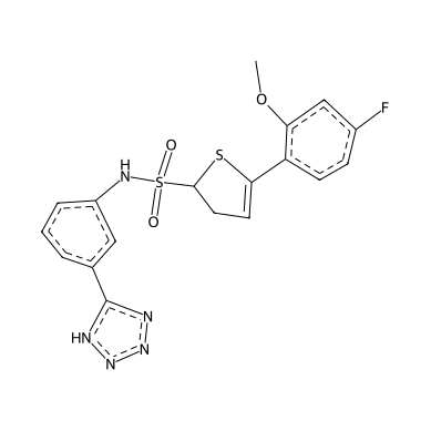 COc1cc(F)ccc1C1=CCC(S(=O)(=O)Nc2cccc(-c3nnn[nH]3)c2)S1